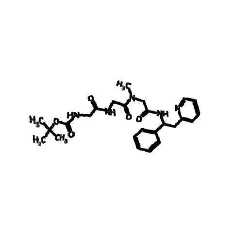 CN(CC(=O)NC(Cc1ccccn1)c1ccccc1)C(=O)CNC(=O)CNC(=O)OC(C)(C)C